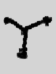 O=C(CCOCCOCCOCCOCCNCc1cc(OCCOCCOCCOCCOCCCCC[C@@H]2SC[C@@H]3NC(=O)N[C@@H]32)cc(OCCOCCOCCOCCOCc2ccc(C3(C(F)(F)F)N=N3)cc2)c1)NCCC(=O)N1Cc2ccccc2C#Cc2ccccc21